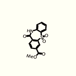 COC(=O)c1ccc2c(c1)S(=O)(=O)c1ccccc1NC2=O